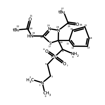 CN(C)CCS(=O)(=O)C(N)C1(c2ccccc2)SC(NC(=O)C(C)(C)C)=NN1C(=O)C(C)(C)C